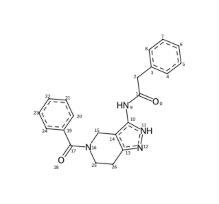 O=C(Cc1ccccc1)Nc1[nH]nc2c1CN(C(=O)c1ccccc1)CC2